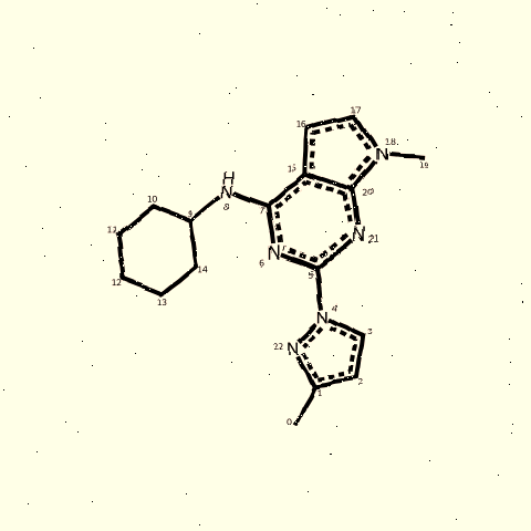 Cc1ccn(-c2nc(NC3CCCCC3)c3ccn(C)c3n2)n1